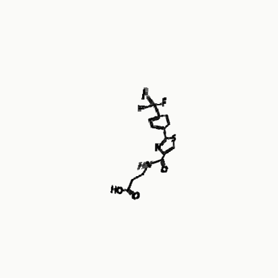 O=C(O)CCNC(=O)c1csc(-c2ccc(C(F)(F)F)cc2)n1